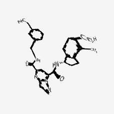 Cc1c(C(=O)O)ccc2c1CC[C@@H]2NC(=O)c1cc(C(=O)NCc2cccc(C#N)c2)nc2ccnn12